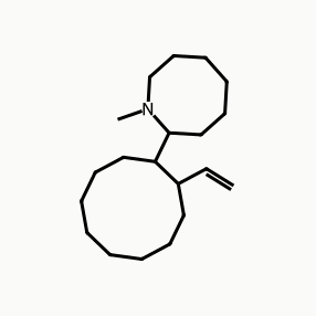 C=CC1CCCCCCCCC1C1CCCCCCN1C